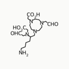 NCCCCC(CN1CCN(CC=O)CCN(CC(=O)O)CC1)N(CC=O)CC(=O)O